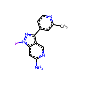 Cc1cc(-c2nn(I)c3cc(N)ncc23)ccn1